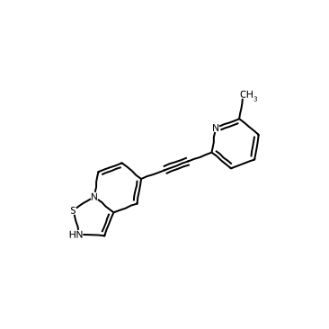 Cc1cccc(C#CC2=CC3=CNSN3C=C2)n1